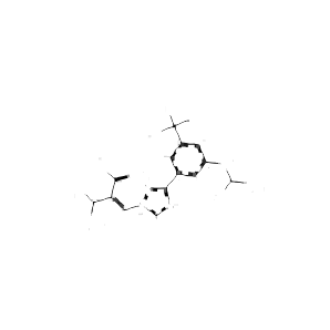 CC(C)Oc1cc(-c2ncn(C=C(C(=O)O)C(C)C)n2)cc(C(F)(F)F)c1